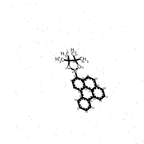 CC1(C)OB(c2ccc3c4ccccc4c4cccc5ccc2c3c54)OC1(C)C